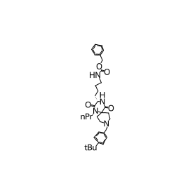 CCCN1C(=O)[C@H](CCCCNC(=O)OCc2ccccc2)NC(=O)C12CCN(Cc1ccc(C(C)(C)C)cc1)CC2